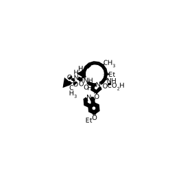 CCOc1ccc2c(O[C@@H]3C[C@H]4C(=O)N[C@]5(C(=O)NS(=O)(=O)C6(C)CC6)C[C@H]5C=CCC[C@H](C)C[C@@H](CC)[C@H](NC(=O)O)C(=O)N4C3)nccc2c1